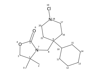 CC1(C)COC(=O)N1CC1(C2CCCCC2)CCN(Cl)CC1